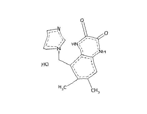 Cc1cc2[nH]c(=O)c(=O)[nH]c2c(Cn2ccnc2)c1C.Cl